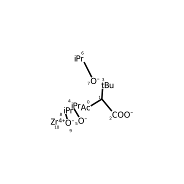 CC(=O)C(C(=O)[O-])C(C)(C)C.CC(C)[O-].CC(C)[O-].CC(C)[O-].[Zr+4]